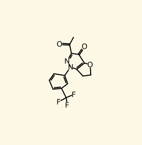 CC(=O)c1nn(-c2cccc(C(F)(F)F)c2)c2c(c1=O)OCC2